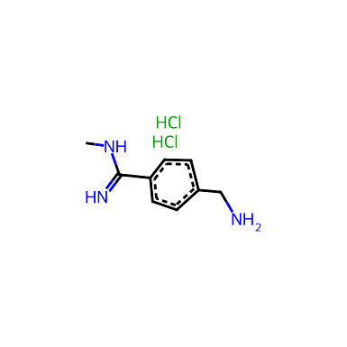 CNC(=N)c1ccc(CN)cc1.Cl.Cl